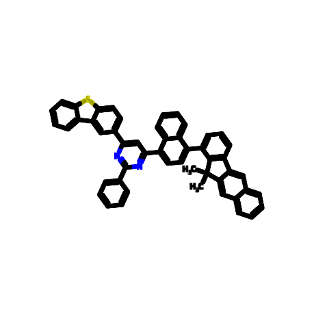 CC1(C)c2cc3ccccc3cc2-c2cccc(-c3ccc(-c4cc(-c5ccc6sc7ccccc7c6c5)nc(-c5ccccc5)n4)c4ccccc34)c21